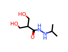 CC(C)NNC(=O)C(CO)CO